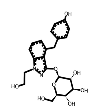 OCCn1nc(O[C@@H]2O[C@H](CO)[C@@H](O)[C@H](O)[C@H]2O)c2c(Cc3ccc(O)cc3)cccc21